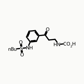 CCCCS(=O)(=O)Nc1cccc(C(=O)CCNC(=O)O)c1